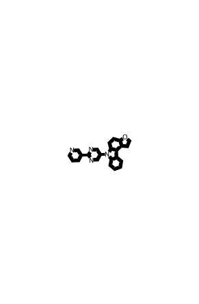 c1cncc(-c2ncc(-n3c4ccccc4c4c5ccoc5ccc43)cn2)c1